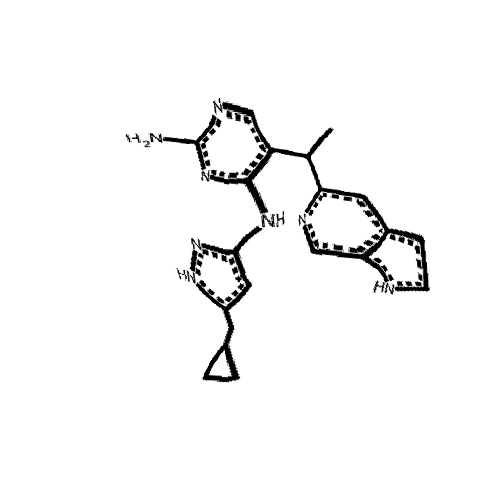 CC(c1cc2cc[nH]c2cn1)c1cnc(N)nc1Nc1cc(C2CC2)[nH]n1